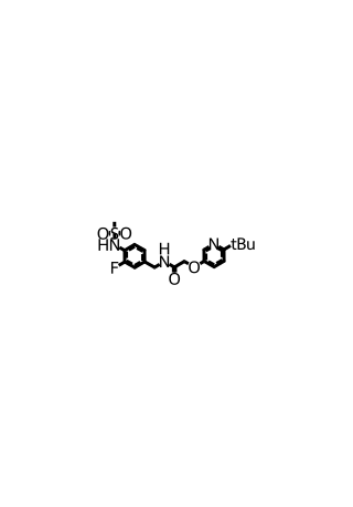 CC(C)(C)c1ccc(OCC(=O)NCc2ccc(NS(C)(=O)=O)c(F)c2)cn1